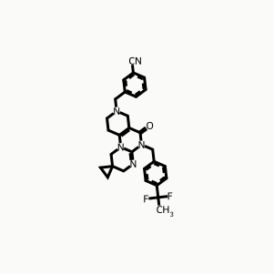 CC(F)(F)c1ccc(CN2C(=O)C3=C(CCN(Cc4cccc(C#N)c4)C3)N3CC4(CC4)CN=C23)cc1